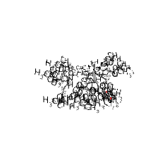 CC(C)C(CCC(=O)NC(CCCOC(C)(C)C)(CCC(=O)OC(C)(C)C)CCC(=O)OC(C)(C)C)(CCC(=O)NC(CCC(=O)OC(C)(C)C)(CCC(=O)OC(C)(C)C)CCC(=O)OC(C)(C)C)CCC(=O)NC(CCC(=O)OC(C)(C)C)(CCC(=O)OC(C)(C)C)CCC(=O)OC(C)(C)C